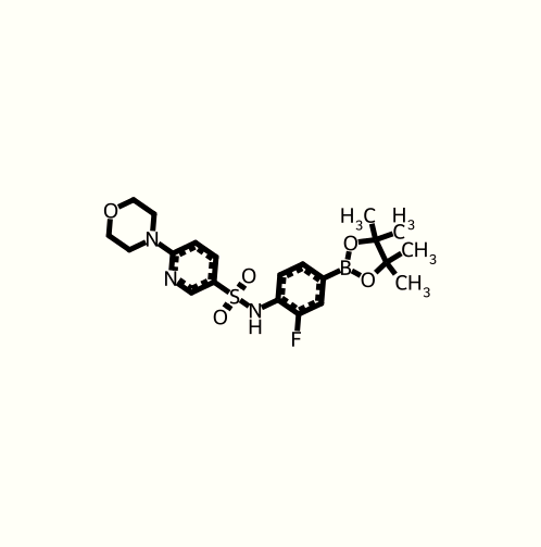 CC1(C)OB(c2ccc(NS(=O)(=O)c3ccc(N4CCOCC4)nc3)c(F)c2)OC1(C)C